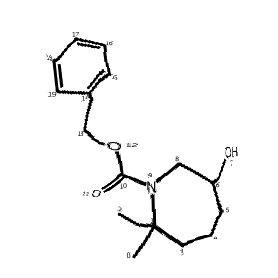 CC1(C)CCCC(O)CN1C(=O)OCc1ccccc1